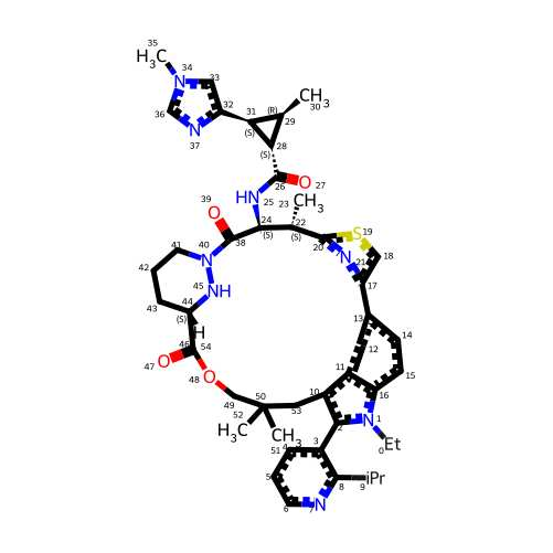 CCn1c(-c2cccnc2C(C)C)c2c3cc(ccc31)-c1csc(n1)[C@@H](C)[C@H](NC(=O)[C@H]1[C@H](C)[C@@H]1c1cn(C)cn1)C(=O)N1CCC[C@H](N1)C(=O)OCC(C)(C)C2